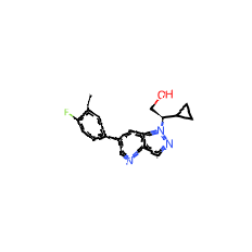 Cc1cc(-c2cnc3cnn([C@@H](CO)C4CC4)c3c2)ccc1F